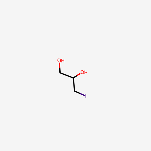 OCC(O)CI